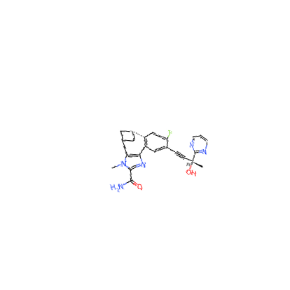 Cn1c(C(N)=O)nc2c1C1CC(C1)c1cc(F)c(C#C[C@@](C)(O)c3ncccn3)cc1-2